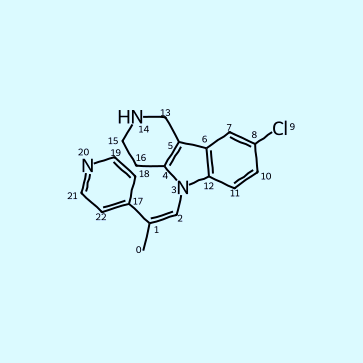 C/C(=C/n1c2c(c3cc(Cl)ccc31)CNCC2)c1ccncc1